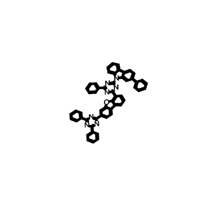 c1ccc(-c2ccc3c4ccccc4n(-c4nc(-c5ccccc5)nc(-c5cccc6c5oc5cc(-c7nc(-c8ccccc8)nc(-c8ccccc8)n7)ccc56)n4)c3c2)cc1